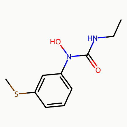 CCNC(=O)N(O)c1cccc(SC)c1